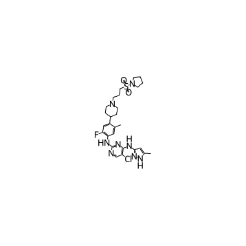 Cc1cc(Nc2nc(Nc3cc(C)c(C4CCN(CCCS(=O)(=O)N5CCCC5)CC4)cc3F)ncc2Cl)n[nH]1